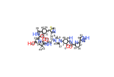 COc1cc(N2C[C@@H](C)N(CCC(=O)N[C@H](C(=O)N3C[C@H](O)C[C@H]3C(=O)N[C@@H](C)c3ccc(-c4scnc4C)cc3)C(C)(C)C)C[C@@H]2C)ccc1NC(=O)c1cccc(-c2cc[nH]n2)n1